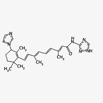 CC1=C(/C=C/C(C)=C/C=C/C(C)=C/C(=O)Nc2nc[nH]n2)C(C)(C)CCC1n1ccnc1